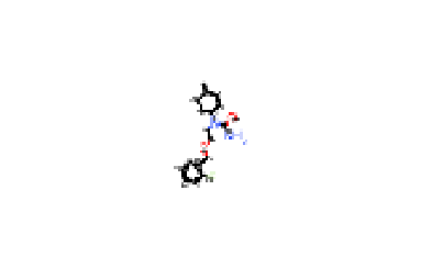 CC1CCC(N(CCOCc2ccccc2F)C(N)=O)CC1